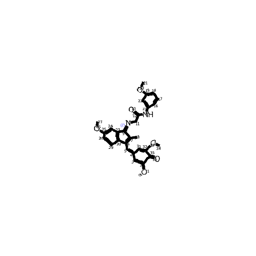 COC1=CC(=CC2=C(C)/C(=N\CC(=O)Nc3cccc(OC)c3)c3cc(OC)ccc32)C=C(OC)C1=O